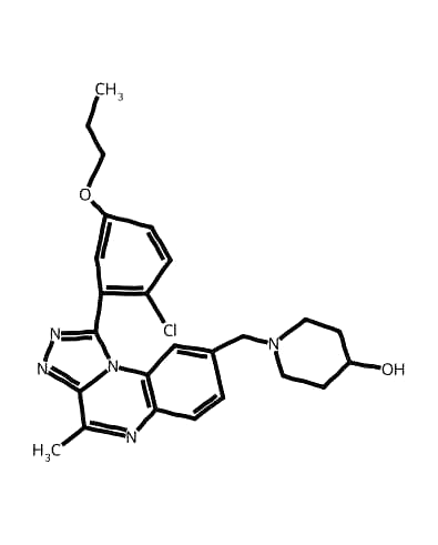 CCCOc1ccc(Cl)c(-c2nnc3c(C)nc4ccc(CN5CCC(O)CC5)cc4n23)c1